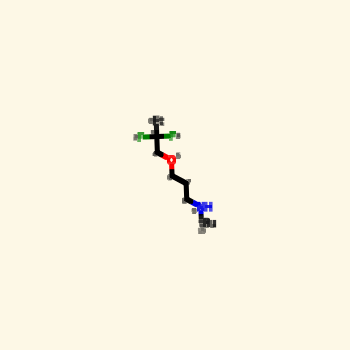 CCC(F)(F)COCCCNC(C)(C)C